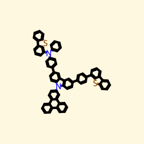 c1ccc(N(c2ccc(-c3ccc4c(c3)c3cc(-c5ccc(-c6cccc7c6sc6ccccc67)cc5)ccc3n4-c3ccc4c5ccccc5c5ccccc5c4c3)cc2)c2cccc3c2sc2ccccc23)cc1